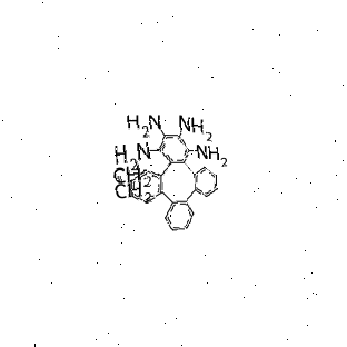 C=C.Nc1c(N)c(N)c2c(c1N)-c1ccccc1-c1ccccc1-c1ccccc1-2